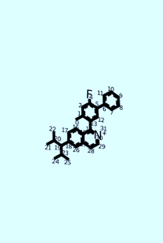 Cc1cc(F)c(-c2ccccc2)cc1-c1c2ccc(C(C(C)C)C(C)C)cc2cc[n+]1C